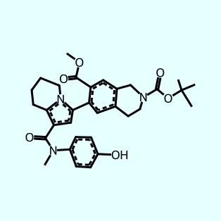 COC(=O)c1cc2c(cc1-c1cc(C(=O)N(C)c3ccc(O)cc3)c3n1CCCC3)CCN(C(=O)OC(C)(C)C)C2